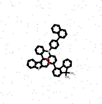 CC1(C)c2ccccc2-c2c(-c3ccc(N(c4ccc(-c5cccc6ccccc56)cc4)c4ccccc4-c4cccc5sc6ccccc6c45)cc3)cccc21